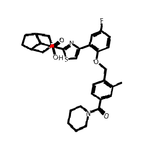 Cc1cc(C(=O)N2CCCCC2)ccc1COc1ccc(F)cc1-c1csc(N2CC3CCC(C2)C3C(=O)O)n1